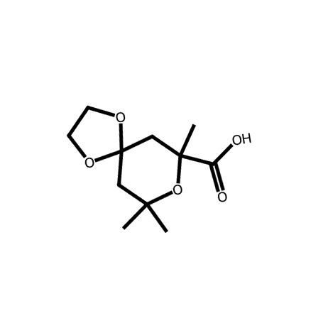 CC1(C)CC2(CC(C)(C(=O)O)O1)OCCO2